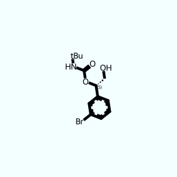 CC(C)(C)NC(=O)O[C@H](CO)c1cccc(Br)c1